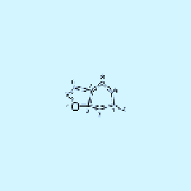 Cc1[c]c2occc2cc1